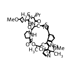 CCn1c(-c2cccnc2[C@H](C)OC)c2c3cc(ccc31)-c1csc(n1)C[C@H](NC(=O)[C@H](C(C)C)N(C)C(=O)N1CC(OC)C1)C(=O)N1CCC[C@H](N1)C(=O)O[C@H](C)[C@@H](C)C2